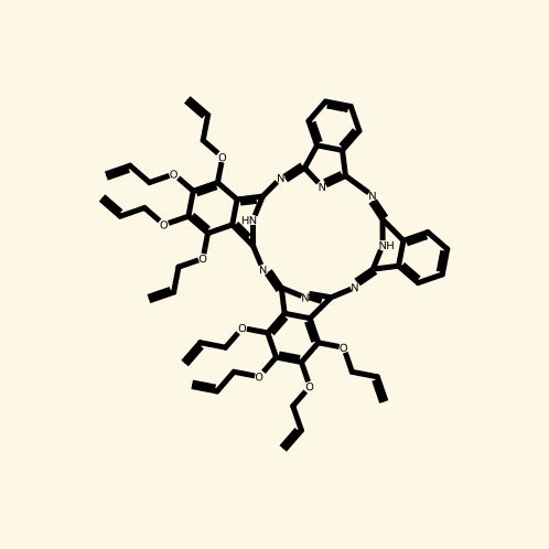 C=CCOc1c(OCC=C)c(OCC=C)c2c(c1OCC=C)-c1nc-2nc2[nH]c(nc3nc(nc4[nH]c(n1)c1ccccc41)-c1ccccc1-3)c1c(OCC=C)c(OCC=C)c(OCC=C)c(OCC=C)c21